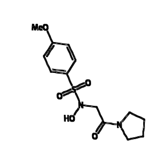 COc1ccc(S(=O)(=O)N(O)CC(=O)N2CCCC2)cc1